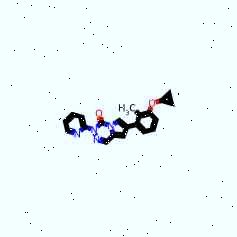 Cc1c(OC2CC2)cccc1-c1cc2cnn(-c3ccccn3)c(=O)n2c1